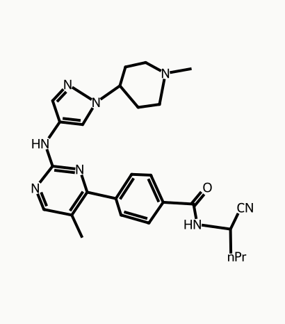 CCCC(C#N)NC(=O)c1ccc(-c2nc(Nc3cnn(C4CCN(C)CC4)c3)ncc2C)cc1